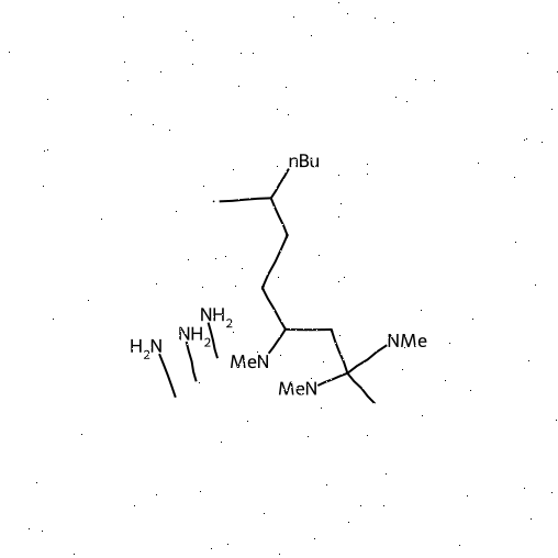 CN.CN.CN.[CH2]C(CCCC)CCC(CC(C)(NC)NC)NC